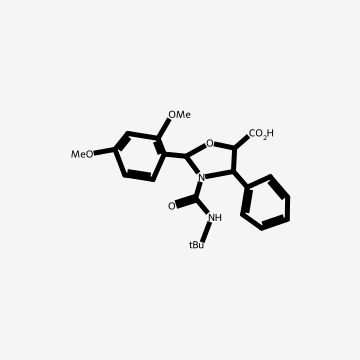 COc1ccc(C2OC(C(=O)O)C(c3ccccc3)N2C(=O)NC(C)(C)C)c(OC)c1